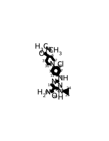 CN(C)C(=O)C1CCN(c2ccc(Nc3ncc(C(N)=O)c(NC4CC4)n3)cc2Cl)CC1